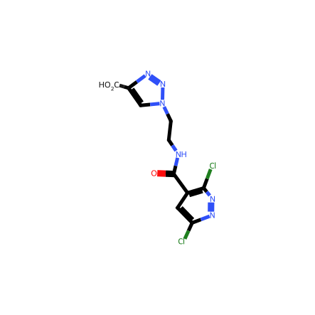 O=C(O)c1cn(CCNC(=O)c2cc(Cl)nnc2Cl)nn1